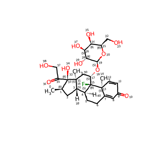 C[C@@H]1C[C@H]2[C@@H]3CCC4=CC(=O)C=C[C@]4(C)[C@@]3(F)[C@@H](O[C@@H]3O[C@H](CO)[C@H](O)[C@H](O)[C@H]3O)C[C@]2(C)[C@@]1(O)C(=O)CO